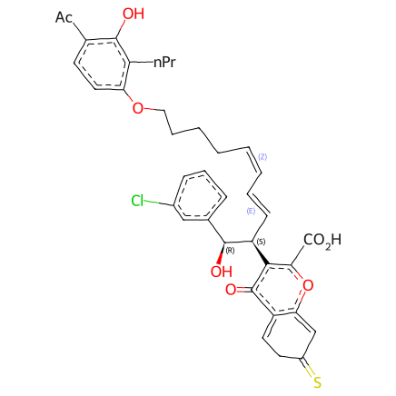 CCCc1c(OCCCC/C=C\C=C\[C@@H](c2c(C(=O)O)oc3c(c2=O)=CCC(=S)C=3)[C@@H](O)c2cccc(Cl)c2)ccc(C(C)=O)c1O